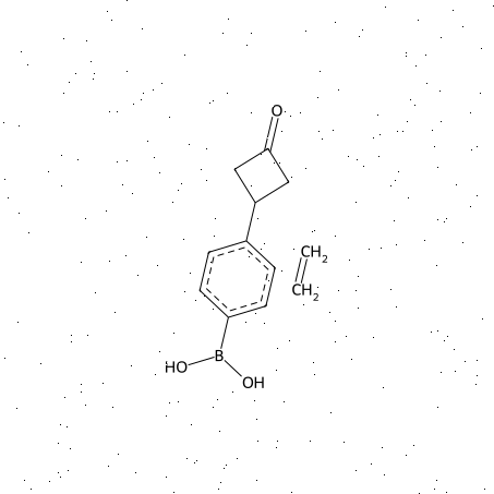 C=C.O=C1CC(c2ccc(B(O)O)cc2)C1